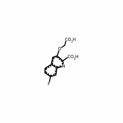 O=C(O)COc1cc2ccc(F)cc2nc1C(=O)O